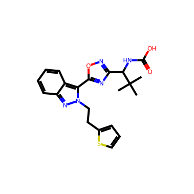 CC(C)(C)C(NC(=O)O)c1noc(-c2c3ccccc3nn2CCc2cccs2)n1